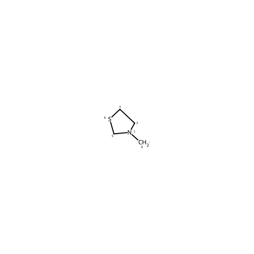 [CH2]N1CCSC1